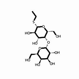 CCS[C@@H]1O[C@H](CO)[C@H](O[C@H]2O[C@H](CO)[C@H](O)[C@H](O)[C@H]2O)[C@H](O)[C@H]1O